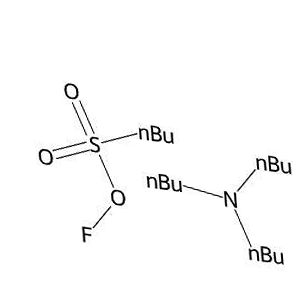 CCCCN(CCCC)CCCC.CCCCS(=O)(=O)OF